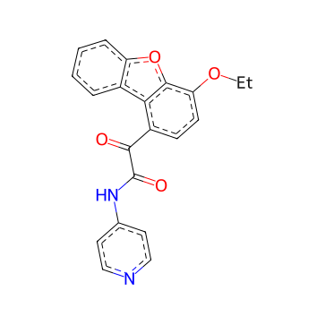 CCOc1ccc(C(=O)C(=O)Nc2ccncc2)c2c1oc1ccccc12